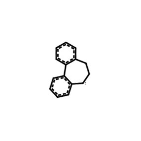 [C]1CCc2ccccc2-c2ccccc21